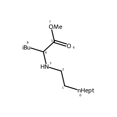 CCCCCCCCCNC(C(=O)OC)C(C)CC